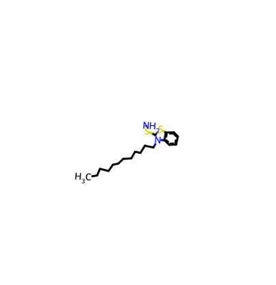 CCCCCCCCCCCCN1c2ccccc2SC1SN